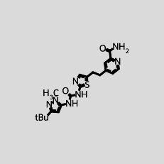 Cn1nc(C(C)(C)C)cc1NC(=O)Nc1ncc(CCc2ccnc(C(N)=O)c2)s1